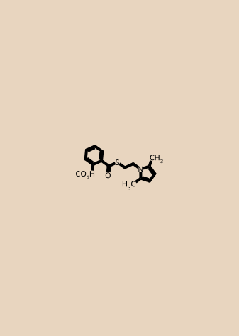 Cc1ccc(C)n1CCSC(=O)c1ccccc1C(=O)O